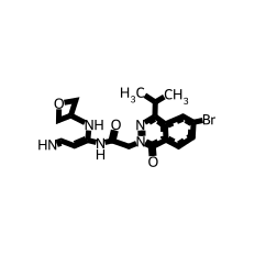 CC(C)c1nn(CC(=O)N/C(=C/C=N)NC2COC2)c(=O)c2ccc(Br)cc12